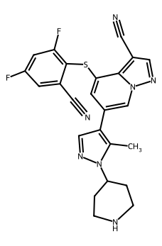 Cc1c(-c2cc(Sc3c(F)cc(F)cc3C#N)c3c(C#N)cnn3c2)cnn1C1CCNCC1